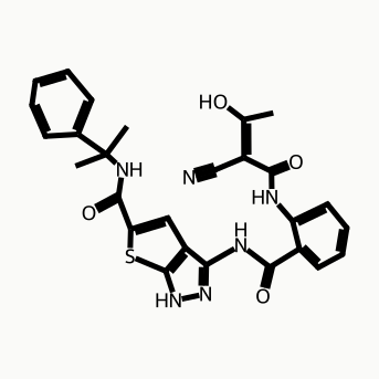 C/C(O)=C(/C#N)C(=O)Nc1ccccc1C(=O)Nc1n[nH]c2sc(C(=O)NC(C)(C)c3ccccc3)cc12